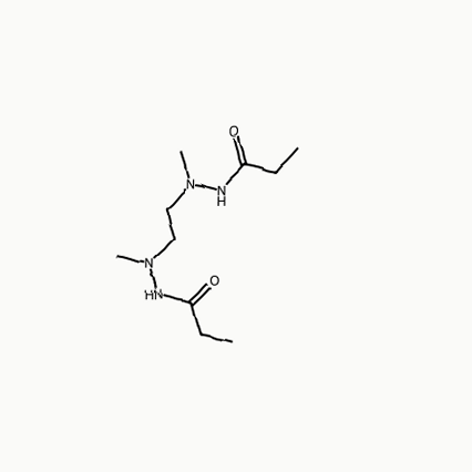 CCC(=O)NN(C)CCN(C)NC(=O)CC